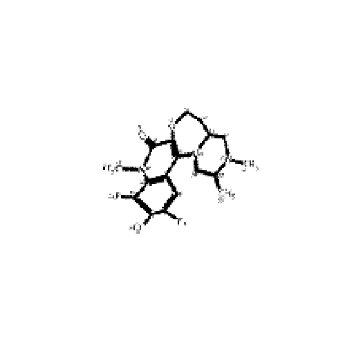 Cc1c(F)cc2c3c(c(=O)n(C)c2c1F)OCCC1CN(C)C(C)CN31